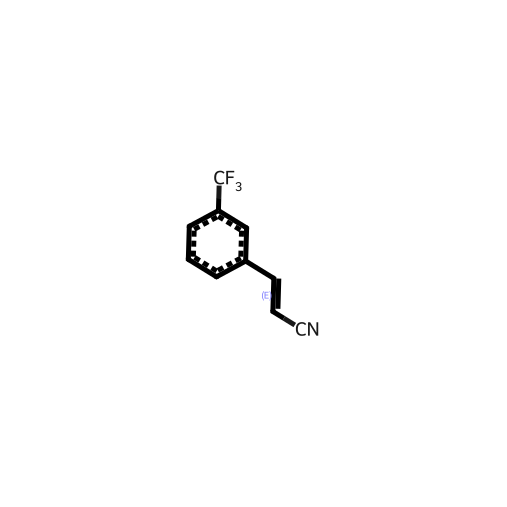 N#C/C=C/c1cccc(C(F)(F)F)c1